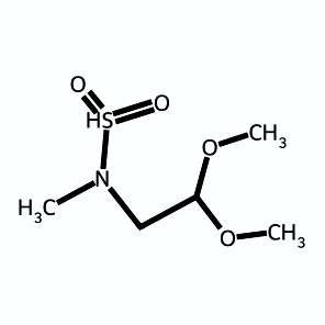 COC(CN(C)[SH](=O)=O)OC